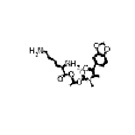 CC(OC(=O)C(N)CCCCN)OC(=O)N(C)C(C)C(=O)c1ccc2c(c1)OCO2